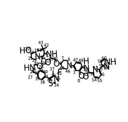 COc1cc(N2CC[C@H](OCC(=O)N[C@H](C(=O)N3C[C@H](O)C[C@H]3C(=O)N[C@@H](C)c3ccc(-c4scnc4C)cc3)C(C)(C)C)[C@@H](F)C2)ccc1NC(=O)c1cccc(-c2cc[nH]n2)n1